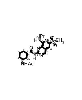 CC(=O)N[C@@H]1CCC[C@H](C(=O)Nc2ncc3cc(S(C)(=O)=O)nc(NC(C)C)c3n2)C1